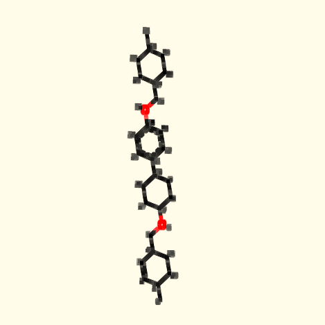 CC1C=CC(COC2CCC(c3ccc(OCC4CCC(C)CC4)cc3)CC2)CC1